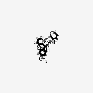 O=C(NC1CCCOC1)NC(c1ccc(C(F)(F)F)cc1)c1ncccc1C(F)(F)F